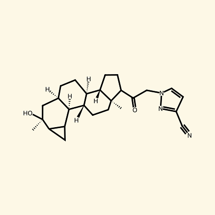 C[C@]1(O)C[C@H]2CC[C@@H]3[C@H](CC[C@]4(C)C(C(=O)Cn5ccc(C#N)n5)CC[C@@H]34)[C@H]2C2CC21